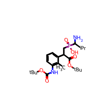 Cc1c(NC(=O)OC(C)(C)C)cccc1C(CP(=O)(O)C(N)C(C)C)C(=O)OC(C)(C)C